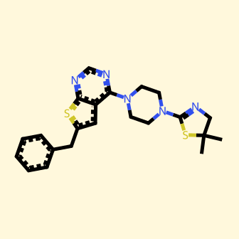 CC1(C)CN=C(N2CCN(c3ncnc4sc(Cc5ccccc5)cc34)CC2)S1